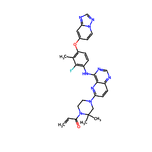 C=CC(=O)N1CCN(c2ccc3ncnc(Nc4ccc(Oc5ccn6ncnc6c5)c(C)c4F)c3n2)CC1(C)C